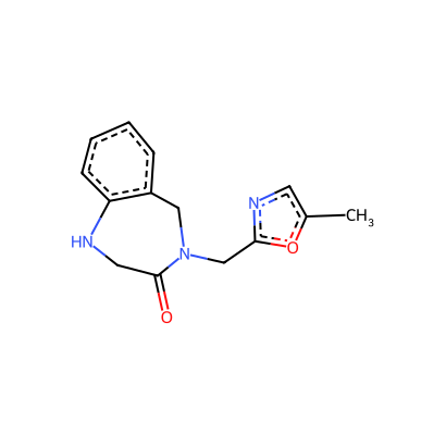 Cc1cnc(CN2Cc3ccccc3NCC2=O)o1